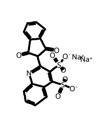 O=C1c2ccccc2C(=O)C1c1nc2ccccc2c(S(=O)(=O)[O-])c1S(=O)(=O)[O-].[Na+].[Na+]